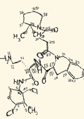 Cc1c(Cl)ccc(NC(=O)[C@H](CCN)NC(=O)[C@@H]2Cc3ccccc3CN2C(=O)CCC(=O)N2CCCCC2(C)C)c1Cl